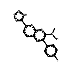 CC(C)N(C)c1nc2nc(-c3nnn[nH]3)ccc2nc1-c1ccc(F)cc1